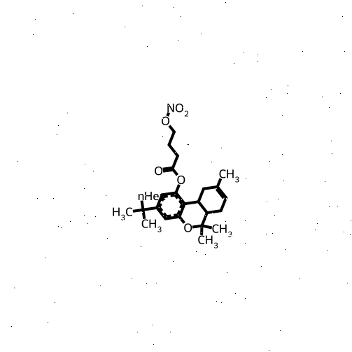 CCCCCCC(C)(C)c1cc(OC(=O)CCCO[N+](=O)[O-])c2c(c1)OC(C)(C)C1CC=C(C)CC21